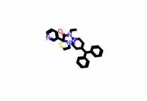 CCN(C(=O)C1(c2cccnc2)NCCS1)N1CCC(C(c2ccccc2)c2ccccc2)CC1